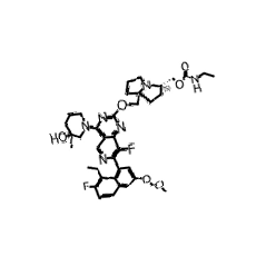 CCNC(=O)OC[C@@H]1CC[C@]2(COc3nc(N4CCC[C@@](C)(O)C4)c4cnc(-c5cc(OCOC)cc6ccc(F)c(CC)c56)c(F)c4n3)CCCN12